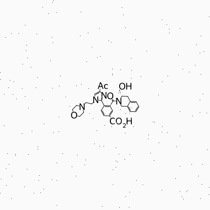 CC(=O)c1cn(CCN2CCOCC2)c(-c2ccc(C(=O)O)cc2C(=O)N2Cc3ccccc3C[C@H]2CO)n1